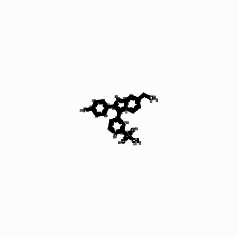 CCc1ccn2c(-c3ccnc(S(C)(=O)=O)n3)c(-c3ccc(F)cc3)nc2c1